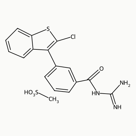 CS(=O)(=O)O.N=C(N)NC(=O)c1cccc(-c2c(Cl)sc3ccccc23)c1